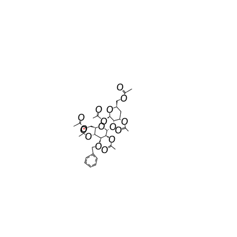 CC(=O)OC[C@H]1C[C@H](OC(C)=O)[C@H](O[C@H]2O[C@H](COC(C)=O)[C@@H](OC(C)=O)[C@H](OCc3ccccc3)[C@@H]2OC(C)=O)[C@@H](OC(C)=O)O1